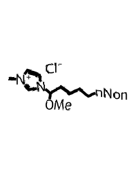 CCCCCCCCCCCCCC(OC)n1cc[n+](C)c1.[Cl-]